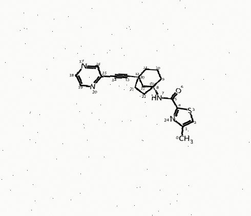 Cc1csc(C(=O)N[C@@]23CCC[C@@](C#Cc4cnccn4)(CC2)C3)n1